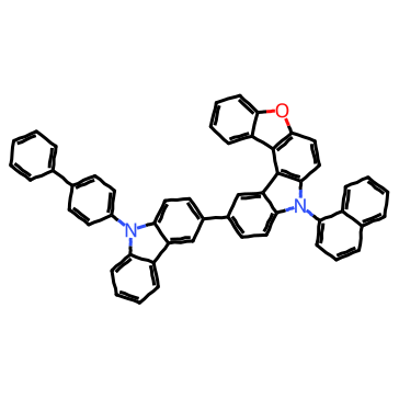 c1ccc(-c2ccc(-n3c4ccccc4c4cc(-c5ccc6c(c5)c5c7c(ccc5n6-c5cccc6ccccc56)oc5ccccc57)ccc43)cc2)cc1